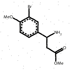 COC(=O)CC(N)c1ccc(OC)c(Br)c1